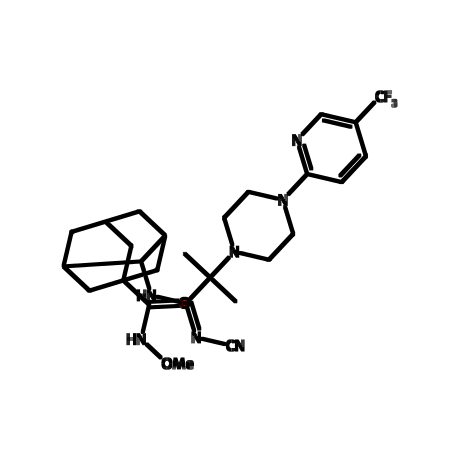 CONC(=O)C12CC3CC(C1)C(N/C(=N/C#N)C(C)(C)N1CCN(c4ccc(C(F)(F)F)cn4)CC1)C(C3)C2